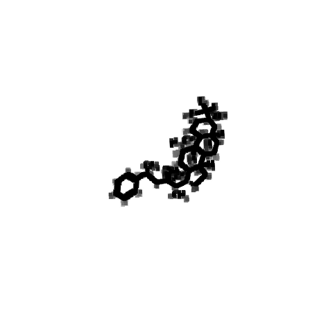 C[C@H]([C@H](O)C[C@H](O)c1ccccc1)[C@H]1CC[C@H]2[C@@H]3CC[C@H]4C[C@](O)(C(F)(F)F)CC[C@]4(C)[C@H]3CC[C@]12C